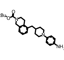 CC(C)(C)OC(=O)N1CCc2c(CC3CCN(c4ccc(N)cc4)CC3)cccc2C1